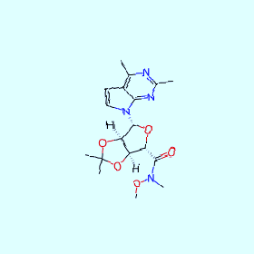 CON(C)C(=O)[C@H]1O[C@@H](n2ccc3c(C)nc(C)nc32)[C@@H]2OC(C)(C)O[C@@H]21